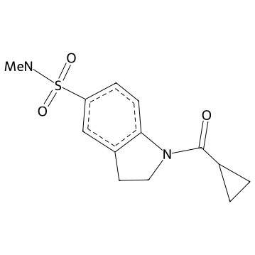 CNS(=O)(=O)c1ccc2c(c1)CCN2C(=O)C1CC1